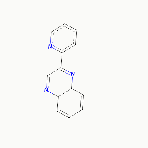 C1=CC2N=CC(c3ccccn3)=NC2C=C1